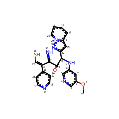 COc1cncc(NC(C(=O)C(=N)/C(=C\S)c2ccncc2)c2cc3ccccn3n2)c1